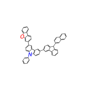 c1ccc(-n2c3ccc(-c4ccc5c(c4)-c4ccccc4C5c4ccc5ccccc5c4)cc3c3cc(-c4ccc5c(c4)oc4ccccc45)ccc32)cc1